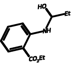 CCOC(=O)c1ccccc1NC(O)CC